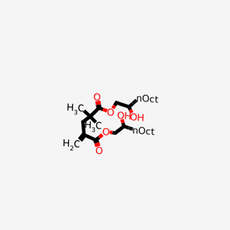 C=C(CC(C)(C)C(=O)OCC(O)CCCCCCCC)C(=O)OCC(O)CCCCCCCC